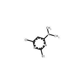 CCc1nc(Cl)cc(N(C)C)n1